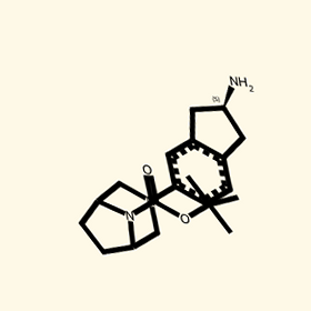 CC(C)(C)OC(=O)N1C2CCC1CN(c1ccc3c(c1)C[C@@H](N)C3)C2